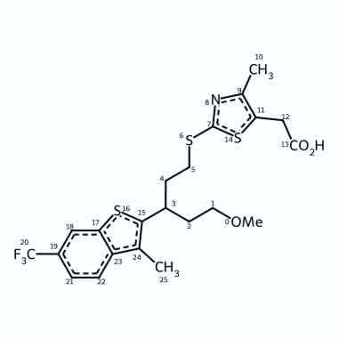 COCCC(CCSc1nc(C)c(CC(=O)O)s1)c1sc2cc(C(F)(F)F)ccc2c1C